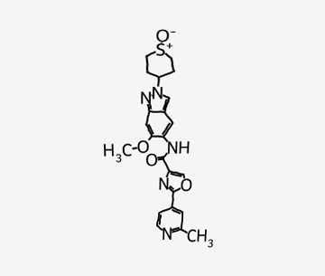 COc1cc2nn(C3CC[S+]([O-])CC3)cc2cc1NC(=O)c1coc(-c2ccnc(C)c2)n1